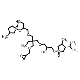 CCC(COCC(O)COP1(=O)CC(C)[C@H](C(C)C)C1)(COCC1CO1)COCC(CO)OP1(=O)CCC(C)C1